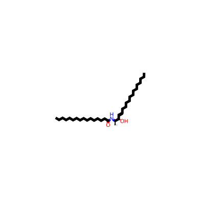 [CH2][C@@H](NC(=O)CCCCCCCCCCCCCCC)[C@H](O)/C=C/CCCCCCCCCCCCC